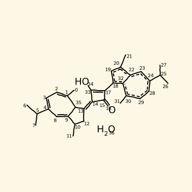 CC1=CC=C(C(C)C)C=C2C(C)CC(=C3C(=O)C(c4cc(C)c5cc(C(C)C)ccc(C)c4-5)=C3O)C12.O